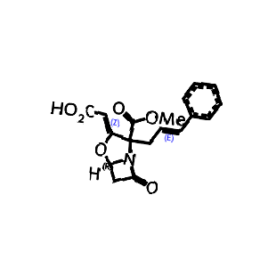 COC(=O)C1(C/C=C/c2ccccc2)/C(=C/C(=O)O)O[C@@H]2CC(=O)N21